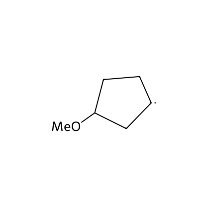 COC1C[CH]CC1